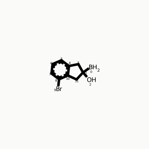 BC1(O)Cc2cccc(Br)c2C1